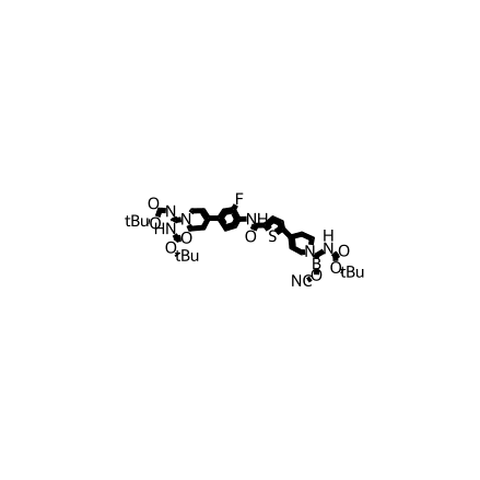 CC(C)(C)OC(=O)N=C(NC(=O)OC(C)(C)C)N1CC=C(c2ccc(NC(=O)c3ccc(C4=CCN(C(=BOC#N)NC(=O)OC(C)(C)C)CC4)s3)c(F)c2)CC1